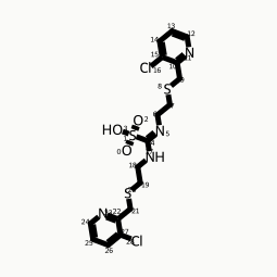 O=S(=O)(O)C(=NCCSCc1ncccc1Cl)NCCSCc1ncccc1Cl